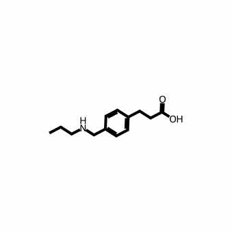 CCCNCc1ccc(CCC(=O)O)cc1